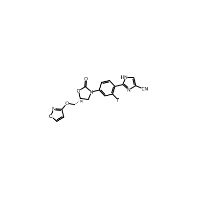 N#Cc1c[nH]c(-c2ccc(N3C[C@H](COc4ccon4)OC3=O)cc2F)n1